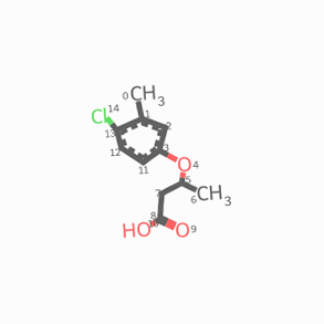 Cc1cc(OC(C)CC(=O)O)ccc1Cl